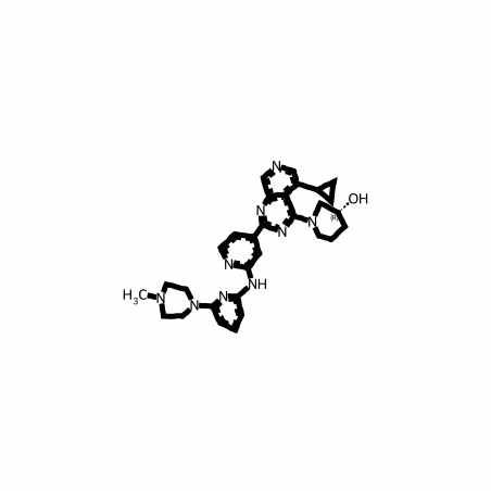 CN1CCN(c2cccc(Nc3cc(-c4nc(N5CCC[C@@H](O)C5)c5c(C6CC6)cncc5n4)ccn3)n2)CC1